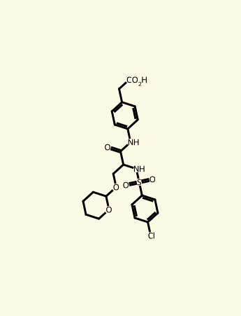 O=C(O)Cc1ccc(NC(=O)C(COC2CCCCO2)NS(=O)(=O)c2ccc(Cl)cc2)cc1